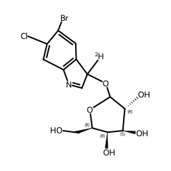 [2H]C1(OC2O[C@H](CO)[C@H](O)[C@H](O)[C@H]2O)C=Nc2cc(Cl)c(Br)cc21